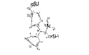 CCCCSc1ccc(C(c2ccccc2)C(CS)N(C)C)cc1